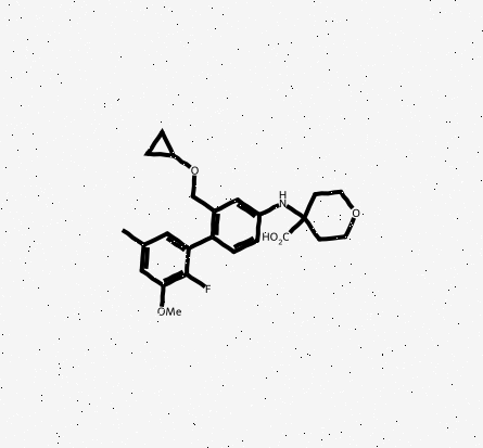 COc1cc(C)cc(-c2ccc(NC3(C(=O)O)CCOCC3)cc2COC2CC2)c1F